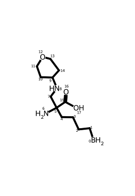 BCCCCC(N)(CNC1CCOCC1)C(=O)O